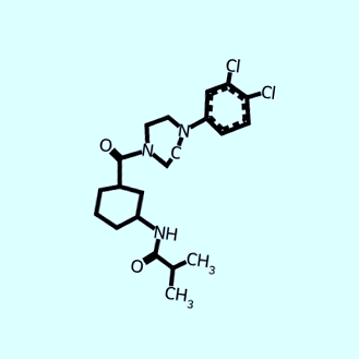 CC(C)C(=O)NC1CCCC(C(=O)N2CCN(c3ccc(Cl)c(Cl)c3)CC2)C1